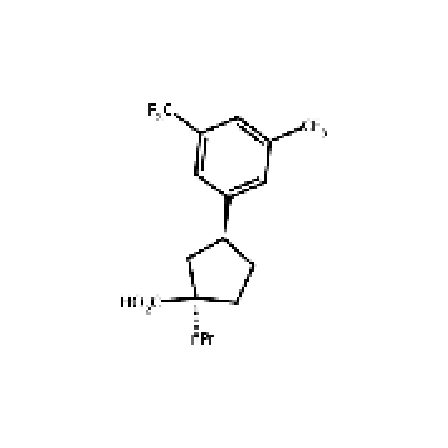 CCC[C@@]1(C(=O)O)CC[C@H](c2cc(C(F)(F)F)cc(C(F)(F)F)c2)C1